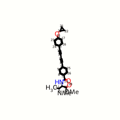 CN[C@H](C)[C@H](NC(=O)c1ccc(C#CC#Cc2ccc(OC3CC3)cc2)cc1)C(=O)OC